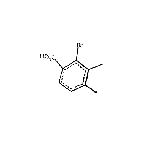 Cc1c(I)ccc(C(=O)O)c1Br